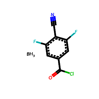 B.N#Cc1c(F)cc(C(=O)Cl)cc1F